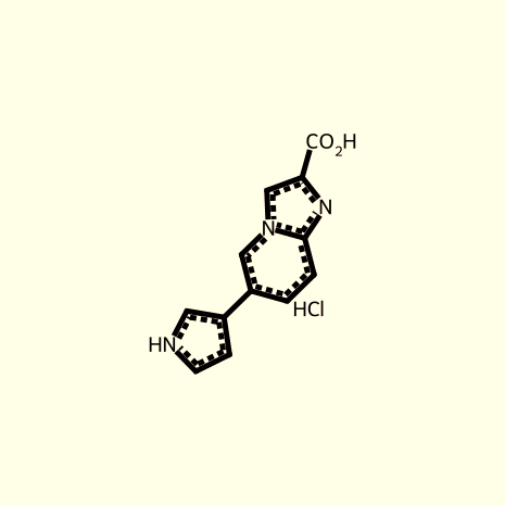 Cl.O=C(O)c1cn2cc(-c3cc[nH]c3)ccc2n1